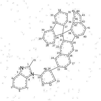 Cc1nc2ccccc2n1-c1cccc(-c2ccc3cc4c(cc3c2)C2(c3ccccc3-c3ccccc32)c2c-4ccc3ccccc23)c1